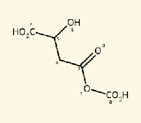 O=C(O)OC(=O)CC(O)C(=O)O